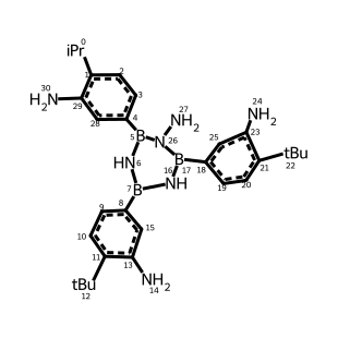 CC(C)c1ccc(B2NB(c3ccc(C(C)(C)C)c(N)c3)NB(c3ccc(C(C)(C)C)c(N)c3)N2N)cc1N